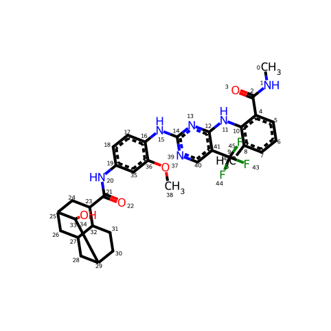 CNC(=O)c1cccc(C)c1Nc1nc(Nc2ccc(NC(=O)C3CC4CC5CC(CCC53)C4O)cc2OC)ncc1C(F)(F)F